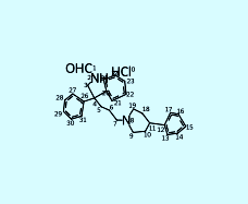 Cl.O=CNCC(CCCN1CCC(c2ccccc2)CC1)(c1ccccc1)c1ccccc1